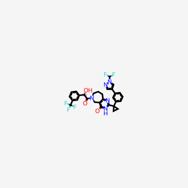 O=C([C@H](O)c1cccc(C(F)(F)F)c1)N1CCCc2nc(C3(c4cccc(-c5cnn(C(F)F)c5)c4)CC3)[nH]c(=O)c2C1